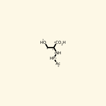 CC(=O)PNC(CO)C(=O)O